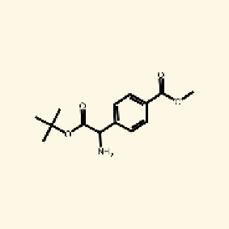 COC(=O)c1ccc(C(N)C(=O)OC(C)(C)C)cc1